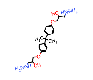 CC(C)(c1ccc(OCC(O)CNN)cc1)c1ccc(OCC(O)CNN)cc1